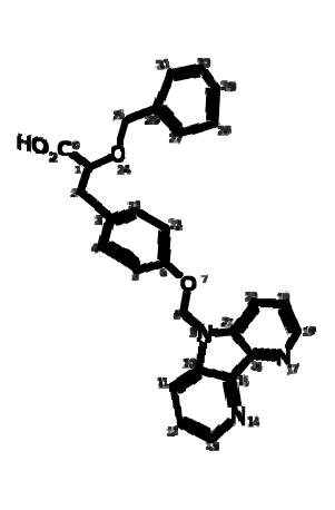 O=C(O)C(Cc1ccc(OCn2c3cccnc3c3ncccc32)cc1)OCc1ccccc1